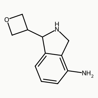 Nc1cccc2c1CNC2C1COC1